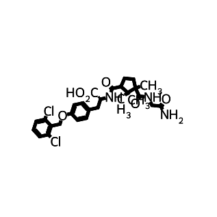 CC1(C(=O)NCC(N)=O)CCC(C(=O)N[C@@H](Cc2ccc(OCc3c(Cl)cccc3Cl)cc2)C(=O)O)C1(C)C